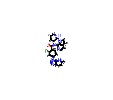 Cc1ccc2nnn(-c3ccc(C(=O)N(c4nccc5ccn(C)c45)[C@@H]4CCCNC4)c(F)c3)c2n1